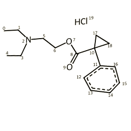 CCN(CC)CCOC(=O)C1(c2ccccc2)CC1.Cl